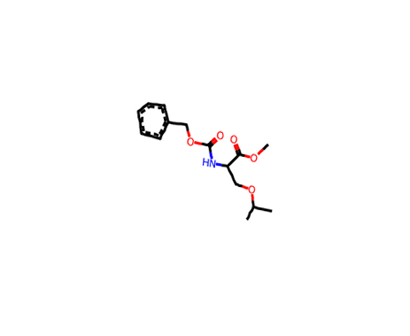 COC(=O)C(COC(C)C)NC(=O)OCc1ccccc1